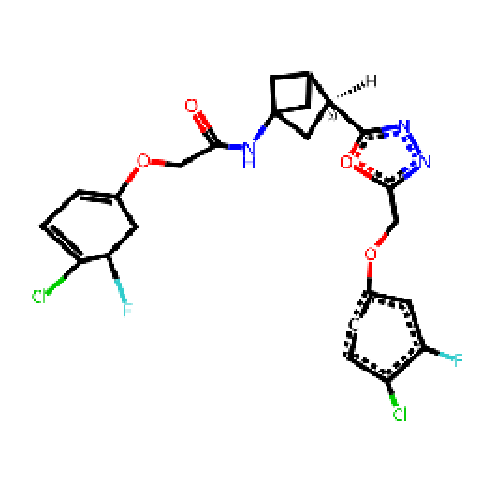 O=C(COC1=CC=C(Cl)C(F)C1)NC12CC(C1)[C@@H](c1nnc(COc3ccc(Cl)c(F)c3)o1)C2